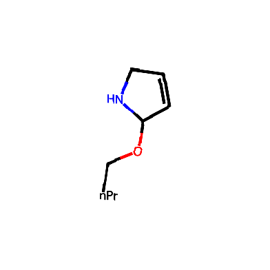 CCCCOC1C=CCN1